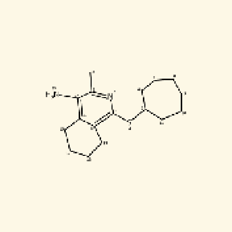 Cc1nc(SC2CCCCCC2)c2c(c1N)CCCC2